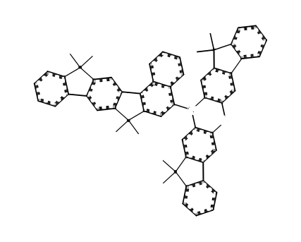 CC1(C)c2ccccc2-c2cc3c(cc21)-c1c(cc(N2c4cc5c(cc4Oc4cc6c(cc42)C(C)(C)c2ccccc2-6)-c2ccccc2C5(C)C)c2ccccc12)C3(C)C